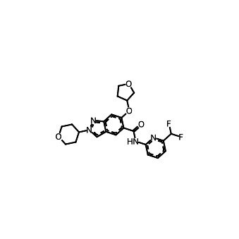 O=C(Nc1cccc(C(F)F)n1)c1cc2cn(C3CCOCC3)nc2cc1OC1CCOC1